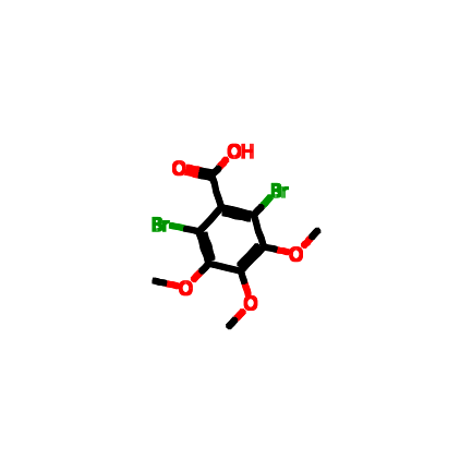 COc1c(Br)c(C(=O)O)c(Br)c(OC)c1OC